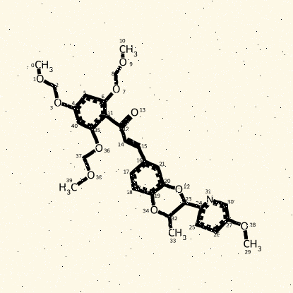 COCOc1cc(OCOC)c(C(=O)/C=C/c2ccc3c(c2)OC(c2ccc(OC)cn2)C(C)O3)c(OCOC)c1